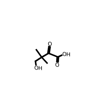 CC(C)(CO)C(=O)C(=O)O